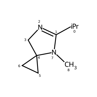 CC(C)C1=NCC2(CC2)N1C